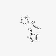 O=C(Oc1ccc[nH]1)On1cccc1